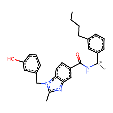 CCCCc1cccc([C@H](C)NC(=O)c2ccc3c(c2)nc(C)n3Cc2cccc(O)c2)c1